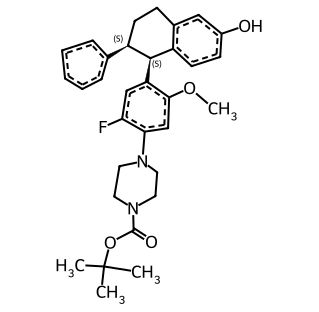 COc1cc(N2CCN(C(=O)OC(C)(C)C)CC2)c(F)cc1[C@@H]1c2ccc(O)cc2CC[C@@H]1c1ccccc1